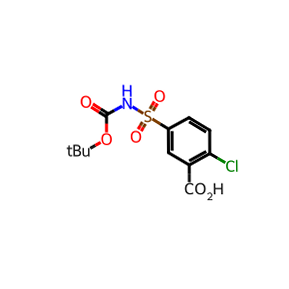 CC(C)(C)OC(=O)NS(=O)(=O)c1ccc(Cl)c(C(=O)O)c1